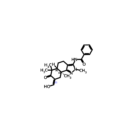 Cn1nc2c(c1NC(=O)c1ccccc1)CC[C@H]1C(C)(C)C(=O)/C(=C\O)C[C@]21C